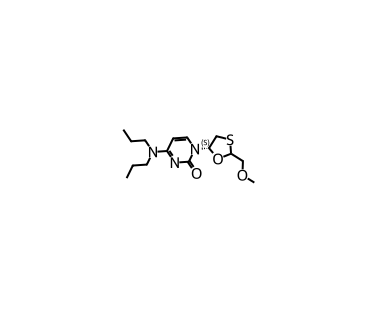 CCCN(CCC)c1ccn([C@@H]2CSC(COC)O2)c(=O)n1